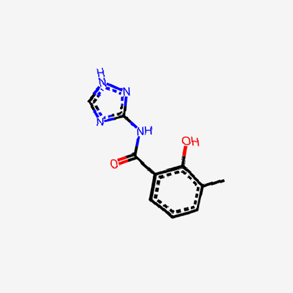 Cc1cccc(C(=O)Nc2nc[nH]n2)c1O